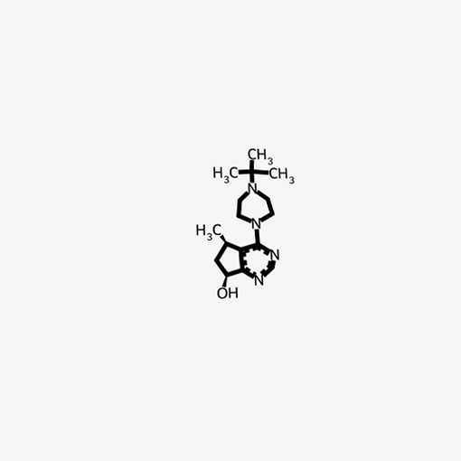 C[C@@H]1C[C@H](O)c2ncnc(N3CCN(C(C)(C)C)CC3)c21